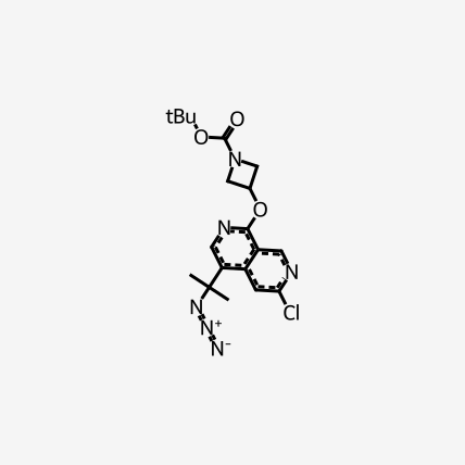 CC(C)(C)OC(=O)N1CC(Oc2ncc(C(C)(C)N=[N+]=[N-])c3cc(Cl)ncc23)C1